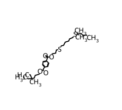 CCCCC(C)(C)SCCCCCCSCCCOC(=O)c1ccc(C(=O)OCCCC(C)(CC)CC)cc1